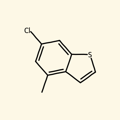 Cc1cc(Cl)cc2sccc12